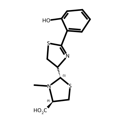 CN1[C@H](C(=O)O)CS[C@H]1C1CSC(c2ccccc2O)=N1